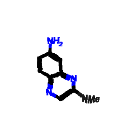 CNc1cnc2ccc(N)cc2n1